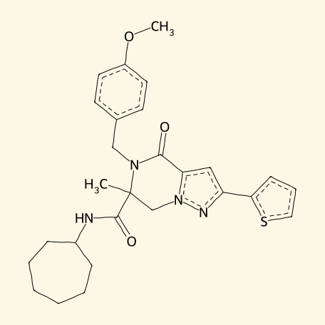 COc1ccc(CN2C(=O)c3cc(-c4cccs4)nn3CC2(C)C(=O)NC2CCCCCC2)cc1